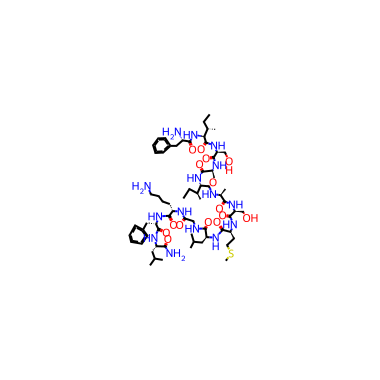 CC[C@H](C)[C@H](NC(=O)[C@H](C)NC(=O)[C@H](CO)NC(=O)[C@@H](NC(=O)[C@@H](N)Cc1ccccc1)[C@@H](C)CC)C(=O)N[C@@H](C)C(=O)N[C@@H](CO)C(=O)N[C@@H](CCSC)C(=O)N[C@@H](CC(C)C)C(=O)NCC(=O)N[C@@H](CCCCN)C(=O)N[C@@H](Cc1ccccc1)C(=O)N[C@@H](CC(C)C)C(N)=O